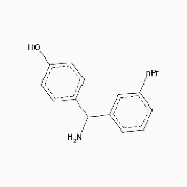 CCCc1cccc(C(N)c2ccc(O)cc2)c1